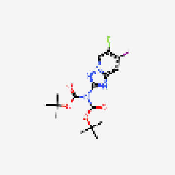 CC(C)(C)OC(=O)N(C(=O)OC(C)(C)C)c1nc2cc(I)c(F)cn2n1